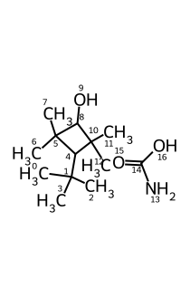 CC(C)(C)C1C(C)(C)C(O)C1(C)C.NC(=O)O